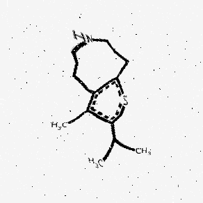 Cc1c(C(C)C)sc2c1CCNCC2